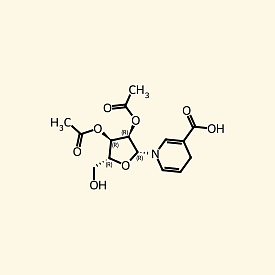 CC(=O)O[C@@H]1[C@H](OC(C)=O)[C@@H](CO)O[C@H]1N1C=CCC(C(=O)O)=C1